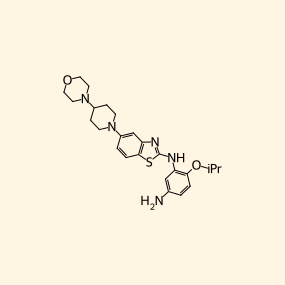 CC(C)Oc1ccc(N)cc1Nc1nc2cc(N3CCC(N4CCOCC4)CC3)ccc2s1